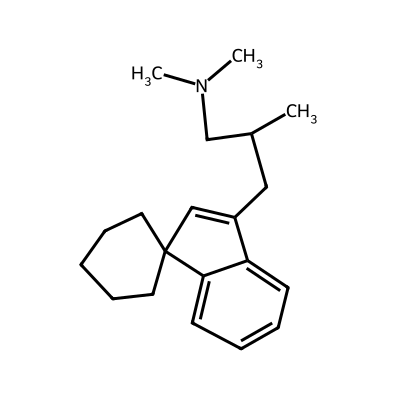 CC(CC1=CC2(CCCCC2)c2ccccc21)CN(C)C